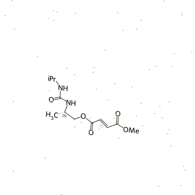 COC(=O)/C=C/C(=O)OC[C@H](C)NC(=O)NC(C)C